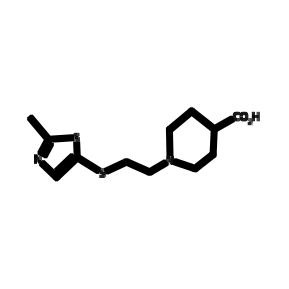 Cc1ncc(SCCN2CCC(C(=O)O)CC2)s1